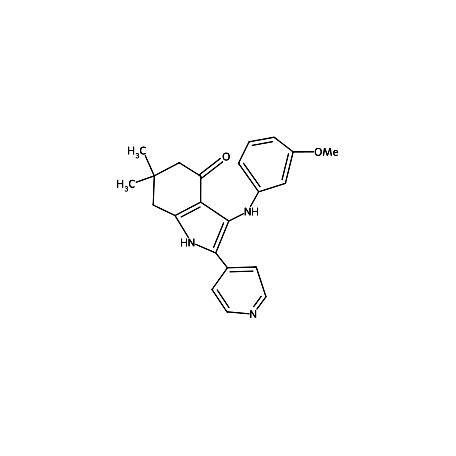 COc1cccc(Nc2c(-c3ccncc3)[nH]c3c2C(=O)CC(C)(C)C3)c1